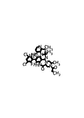 C=CC(=O)N1CC2C(=O)Nc3c(F)c(-c4c(N)c(Cl)cc(Cl)c4F)cc4c3c(nc(=O)n4-c3c(C)ccnc3C(C)C)N2CC1C